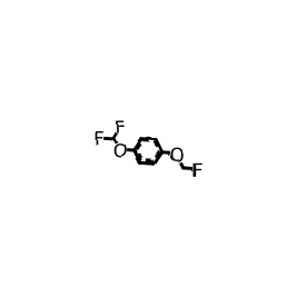 FCOc1ccc(OC(F)F)cc1